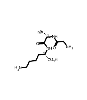 CCCC[C@H](NC(=O)CN)C(=O)N[C@@H](CCCCN)C(=O)O